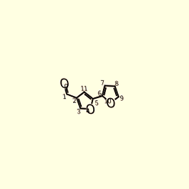 O=Cc1coc(-c2ccco2)c1